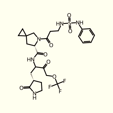 O=C(COC(F)(F)F)C(C[C@@H]1CCNC1=O)NC(=O)[C@@H]1CC2(CC2)CN1C(=O)CCNS(=O)(=O)Nc1ccccc1